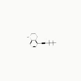 CN1CCCc2c(C#CC(C)(C)C(F)(F)F)cncc21